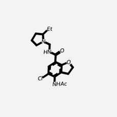 CCC1CCCN1CNC(=O)c1cc(Cl)c(NC(C)=O)c2c1OCC2